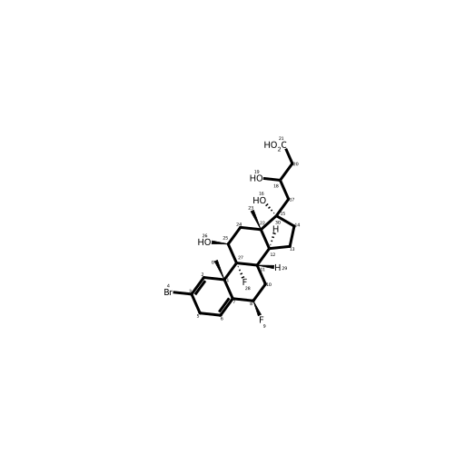 C[C@]12C=C(Br)CC=C1[C@H](F)C[C@H]1[C@@H]3CC[C@](O)(CC(O)CC(=O)O)[C@@]3(C)C[C@H](O)[C@@]12F